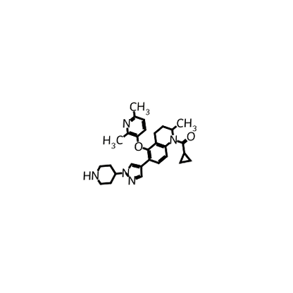 Cc1ccc(Oc2c(-c3cnn(C4CCNCC4)c3)ccc3c2CCC(C)N3C(=O)C2CC2)c(C)n1